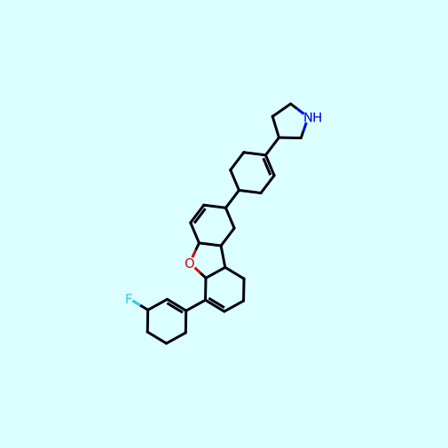 FC1C=C(C2=CCCC3C2OC2C=CC(C4CC=C(C5CCNC5)CC4)CC23)CCC1